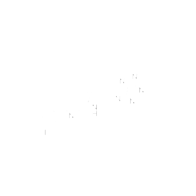 O=C(NC1CCN(c2ncnc3c2ncn3C2CCCC2)CC1)c1ccc(-c2cccc(F)c2)nc1